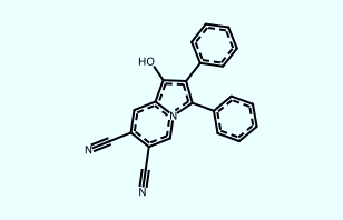 N#Cc1cc2c(O)c(-c3ccccc3)c(-c3ccccc3)n2cc1C#N